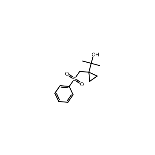 CC(C)(O)C1(CS(=O)(=O)c2ccccc2)CC1